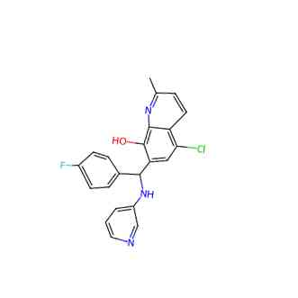 Cc1ccc2c(Cl)cc(C(Nc3cccnc3)c3ccc(F)cc3)c(O)c2n1